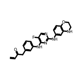 C=CC(=O)Cc1cccc(Nc2nc(Nc3ccc4c(c3)NCCO4)ncc2F)c1